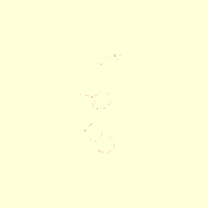 COC(=O)CCc1cccn(Cc2ccc3ccccc3c2)c1=O